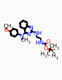 COc1ccc(N(C)c2nc(NCCNC(=O)OC(C)(C)C)nc3ccccc23)cc1